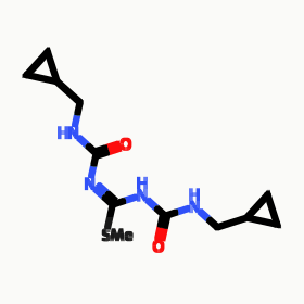 CSC(=NC(=O)NCC1CC1)NC(=O)NCC1CC1